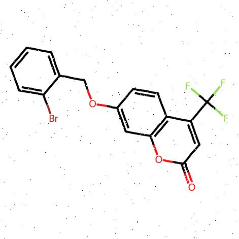 O=c1cc(C(F)(F)F)c2ccc(OCc3ccccc3Br)cc2o1